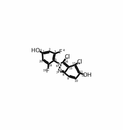 Oc1cc(F)c(-n2nc3ccc(O)c(Cl)c3c2Cl)c(F)c1